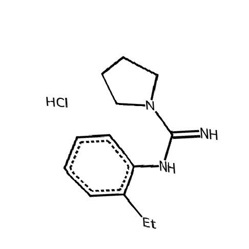 CCc1ccccc1NC(=N)N1CCCC1.Cl